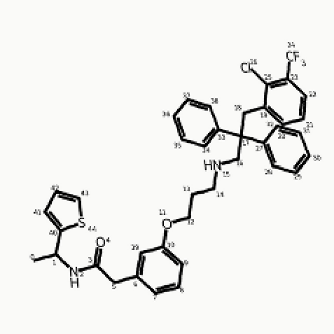 CC(NC(=O)Cc1cccc(OCCCNCC(Cc2cccc(C(F)(F)F)c2Cl)(c2ccccc2)c2ccccc2)c1)c1cccs1